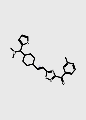 Cc1cccc(C(=O)c2noc(/C=C/C3CCC(C(c4cccs4)N(C)C)CC3)n2)c1